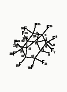 CCC1(C)C2(C)C(F)(F)C3(F)C(F)(F)C(F)(C2(F)F)C(F)(F)C1(F)C3(F)F